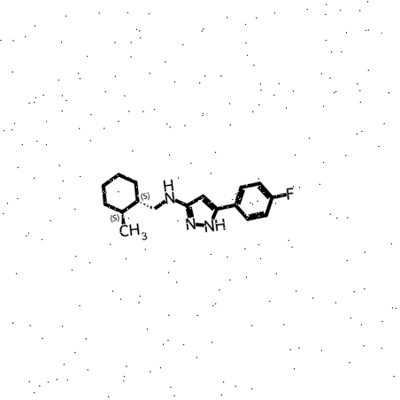 C[C@H]1CCCC[C@@H]1CNc1cc(-c2ccc(F)cc2)[nH]n1